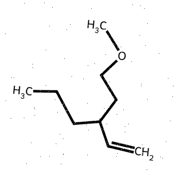 C=C[C](CCC)CCOC